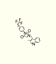 Cc1cnc2ccccc2c1CN1CC(=O)N(c2ccc(SC(F)(F)F)cc2)C1=O